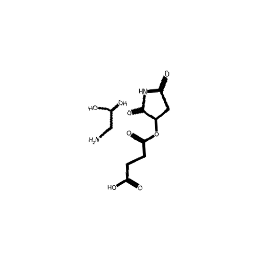 NCC(O)O.O=C(O)CCC(=O)OC1CC(=O)NC1=O